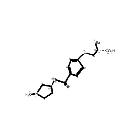 CN1CC[C@H](NC(=N)c2ccc(OC[C@@H](C(=O)O)C(C)(C)C)cc2)C1